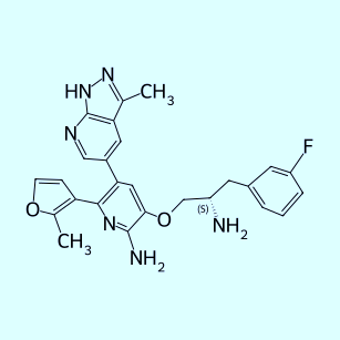 Cc1occc1-c1nc(N)c(OC[C@@H](N)Cc2cccc(F)c2)cc1-c1cnc2[nH]nc(C)c2c1